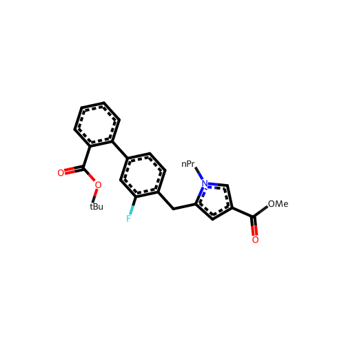 CCCn1cc(C(=O)OC)cc1Cc1ccc(-c2ccccc2C(=O)OC(C)(C)C)cc1F